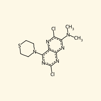 CN(C)c1nc2nc(Cl)nc(N3CCSCC3)c2nc1Cl